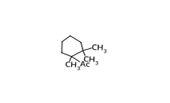 CC(=O)C1(C)CCCCC1(C)C